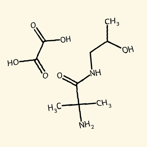 CC(O)CNC(=O)C(C)(C)N.O=C(O)C(=O)O